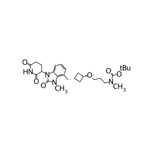 CN(CCCO[C@H]1C[C@H](Cc2cccc3c2n(C)c(=O)n3C2CCC(=O)NC2=O)C1)C(=O)OC(C)(C)C